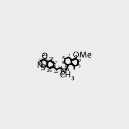 COc1cccc2c1CCCC2CN(C)CCc1ccc2c(=O)cnsc2c1